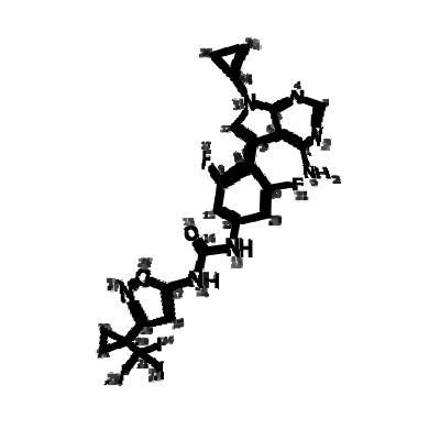 Nc1ncnc2c1c(-c1c(F)cc(NC(=O)Nc3cc(C4(C(I)(I)I)CC4)no3)cc1F)cn2C1CC1